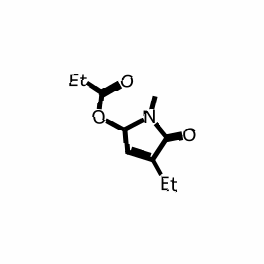 CCC(=O)OC1C=C(CC)C(=O)N1C